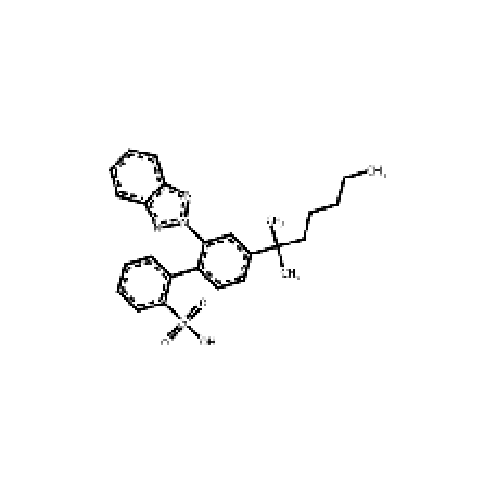 CCCCCC(C)(C)c1ccc(-c2ccccc2S(=O)(=O)O)c(-n2nc3ccccc3n2)c1